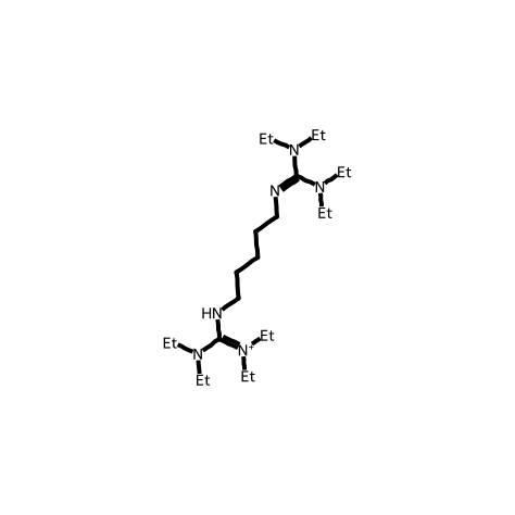 CCN(CC)C(=NCCCCCNC(N(CC)CC)=[N+](CC)CC)N(CC)CC